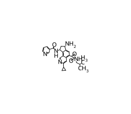 CC(C)CNS(=O)(=O)c1cc2c(c3cnc(C4CC4)cc13)[C@@H](NC(=O)c1cccnc1)C[C@H]2N